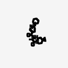 C[C@@H](NC(=O)c1ccc(N2CCCCC2)nc1)C(=O)N1CCC2(CC1)CC2